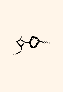 COc1ccc(P2PCC2SS)cc1